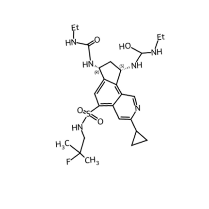 CCNC(=O)N[C@@H]1C[C@H](NC(O)NCC)c2c1cc(S(=O)(=O)NCC(C)(C)F)c1cc(C3CC3)ncc21